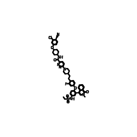 CCS(=O)(=O)Nc1ccc(Oc2ccc(CCC3CCN(c4ccc(C(=O)NC5CCC(Oc6ccc(C#N)c(Cl)c6)CC5)nn4)CC3)c(F)c2)c(-c2cn(C)c(=O)c3ccccc23)c1